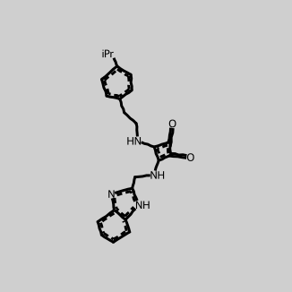 CC(C)c1ccc(CCNc2c(NCc3nc4ccccc4[nH]3)c(=O)c2=O)cc1